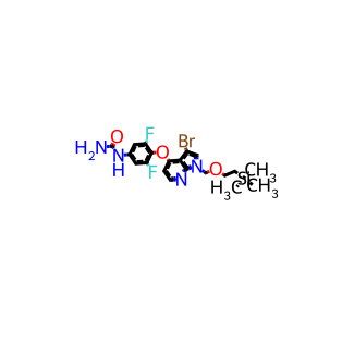 C[Si](C)(C)CCOCn1cc(Br)c2c(Oc3c(F)cc(NC(N)=O)cc3F)ccnc21